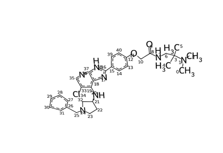 CN(C)C(C)(C)CNC(=O)COc1ccc(-c2nc3c(N[C@H]4CCN(Cc5ccccc5)C4)c(Cl)cnc3[nH]2)cc1